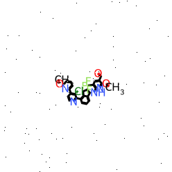 COc1cccc(-c2ccnc(-c3cccc4c3CC[C@@H]4Nc3nc(OC)c(C=O)cc3C(F)(F)F)c2Cl)n1